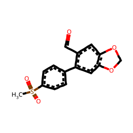 CS(=O)(=O)c1ccc(-c2cc3c(cc2C=O)OCO3)cc1